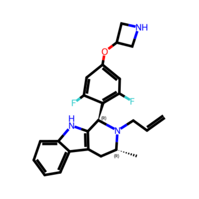 C=CCN1[C@H](c2c(F)cc(OC3CNC3)cc2F)c2[nH]c3ccccc3c2C[C@H]1C